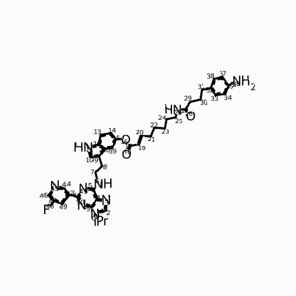 CC(C)n1cnc2c(NCCc3c[nH]c4ccc(OC(=O)/C=C/CCCCCNC(=O)CCCc5ccc(N)cc5)cc34)nc(-c3cncc(F)c3)nc21